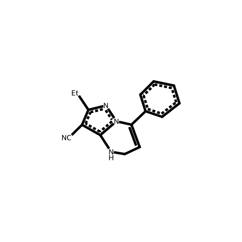 CCc1nn2c(c1C#N)NCC=C2c1ccccc1